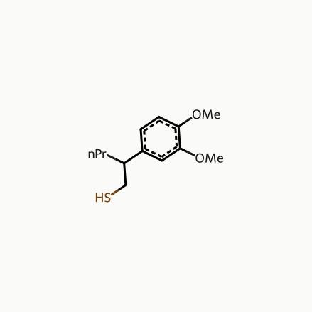 CCCC(CS)c1ccc(OC)c(OC)c1